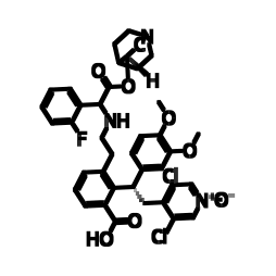 COc1ccc([C@H](Cc2c(Cl)c[n+]([O-])cc2Cl)c2c(CCNC(C(=O)O[C@H]3CN4CCC3CC4)c3ccccc3F)cccc2C(=O)O)cc1OC